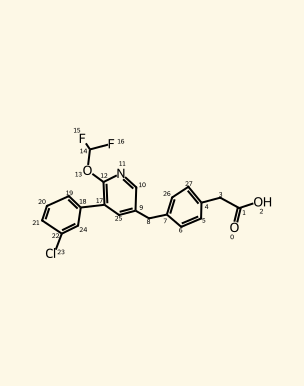 O=C(O)Cc1ccc(Cc2cnc(OC(F)F)c(-c3cccc(Cl)c3)c2)cc1